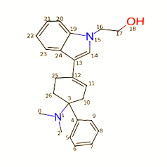 CN(C)C1(c2ccccc2)CC=C(c2cn(CCO)c3ccccc23)CC1